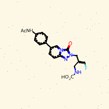 CC(=O)Nc1ccc(-c2ccc3nn(CC(=CF)CNC(=O)O)c(=O)n3c2)cc1